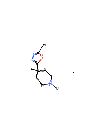 Cc1nnc(C2(C)CCN(C(C)C)CC2)o1